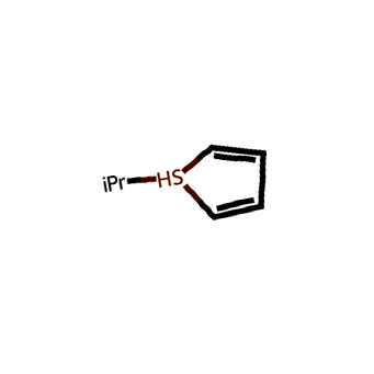 CC(C)[SH]1C=CC=C1